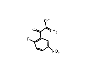 C=C(CCC)C(=O)c1cc([N+](=O)[O-])ccc1F